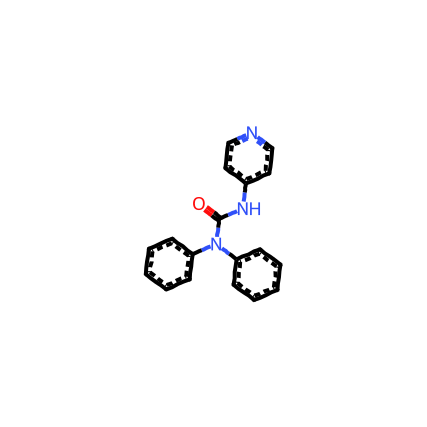 O=C(Nc1ccncc1)N(c1ccccc1)c1ccccc1